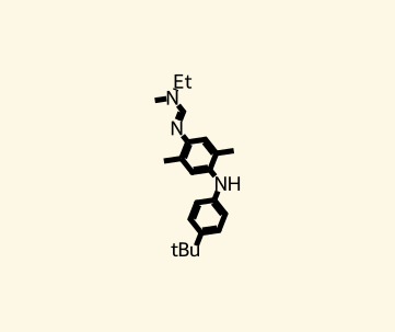 CCN(C)C=Nc1cc(C)c(Nc2ccc(C(C)(C)C)cc2)cc1C